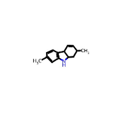 Cc1ccc2c(c1)NC1CC(C)C=CC21